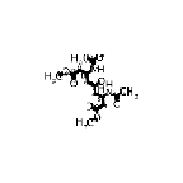 COC(=O)CC(CC(O)CC(CC(=O)OC)NC(C)=O)NC(C)=O